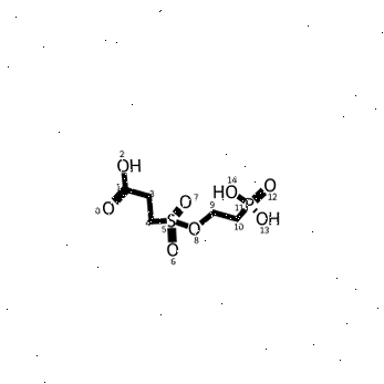 O=C(O)CCS(=O)(=O)OCCP(=O)(O)O